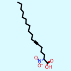 CCCCCCCCCCCC#CCCCC(C(=O)O)[N+](=O)[O-]